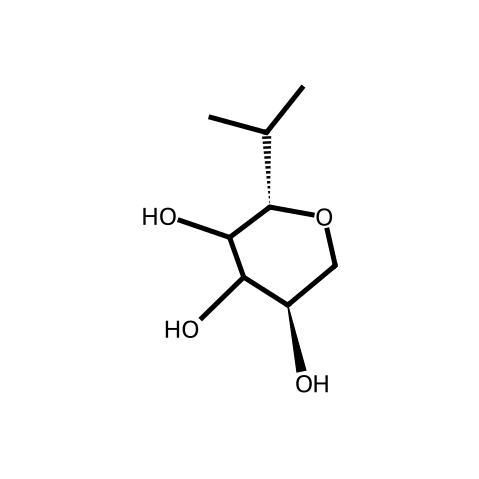 CC(C)[C@@H]1OC[C@@H](O)C(O)C1O